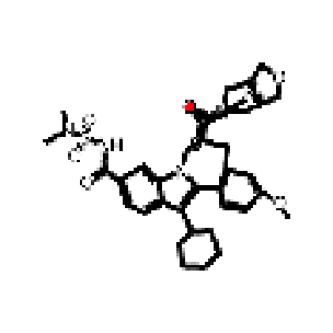 COc1ccc2c(c1)CC(C(=O)N1CC34COCC3(CN(C(C)=O)C4)C1)Cn1c-2c(C2CCCCC2)c2ccc(C(=O)NS(=O)(=O)N(C)C)cc21